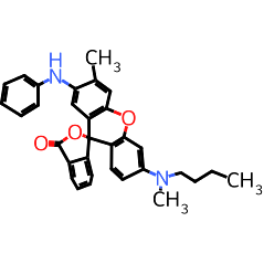 CCCCN(C)c1ccc2c(c1)Oc1cc(C)c(Nc3ccccc3)cc1C21OC(=O)c2ccccc21